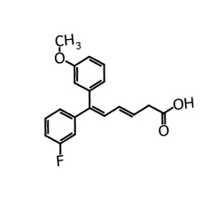 COc1cccc(/C(=C\C=C\CC(=O)O)c2cccc(F)c2)c1